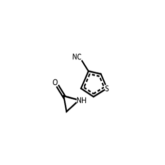 N#Cc1ccsc1.O=C1CN1